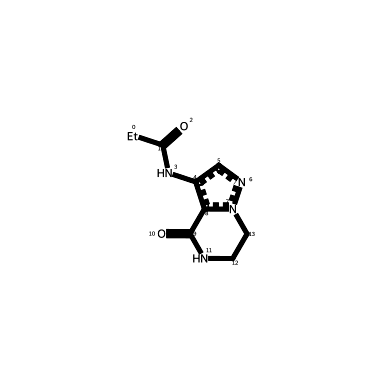 CCC(=O)Nc1cnn2c1C(=O)NCC2